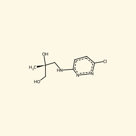 C[C@](O)(CO)CNc1ccc(Cl)nn1